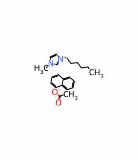 CC(=O)[O-].CCCCCC[n+]1ccn(C)c1.c1ccc2ccccc2c1